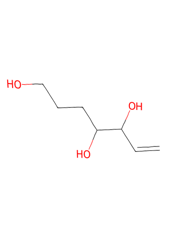 C=CC(O)C(O)CCCO